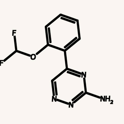 Nc1nncc(-c2ccccc2OC(F)F)n1